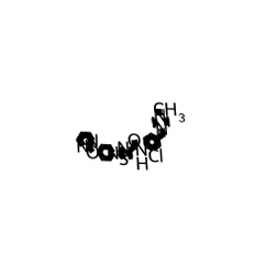 CN1CCN(Cc2ccc(NC(=O)c3csc(N4CCC(Oc5ncccn5)CC4)n3)c(Cl)c2)CC1